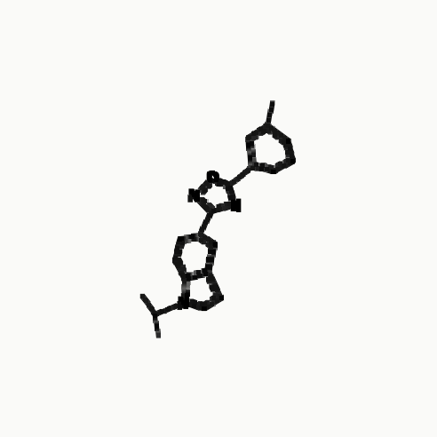 Cc1cccc(-c2nc(-c3ccc4c(ccn4C(C)C)c3)no2)c1